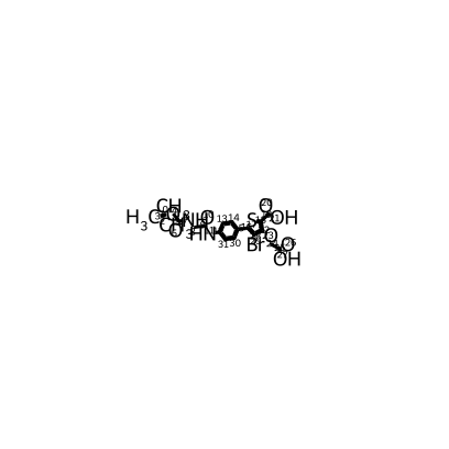 CC(C)(C)OC(=O)NCC(=O)Nc1ccc(-c2sc(C(=O)O)c(OCC(=O)O)c2Br)cc1